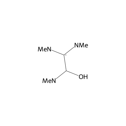 CN[C](NC)C(O)NC